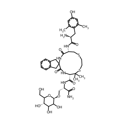 Cc1cc(O)cc(C)c1C[C@H](N)C(=O)N[C@@H]1CSCCSC(C)(C)[C@H](C(=O)N[C@@H](CO[C@@H]2OC(CO)[C@@H](O)C(O)C2O)C(N)=O)NC(=O)C2(Cc3ccccc3C2)NC1=O